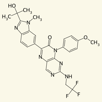 COc1ccc(-n2c(=O)c(-c3ccc4nc(C(C)(C)O)n(C)c4c3)nc3cnc(NCC(F)(F)F)nc32)cc1